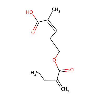 C=C(C[SiH3])C(=O)OCCC=C(C)C(=O)O